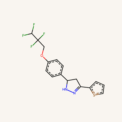 FC(F)C(F)(F)COc1ccc(C2CC(c3cccs3)=NN2)cc1